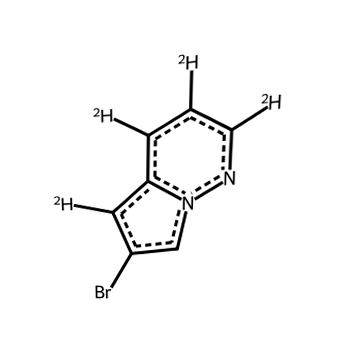 [2H]c1nn2cc(Br)c([2H])c2c([2H])c1[2H]